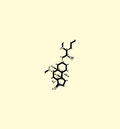 CCC[C@H](OC)[C@@H](O)C[C@@H]1CC[C@@H]2[C@@H](C1)[C@@H](OC)C[C@]1(C)C(=O)CC[C@@H]21